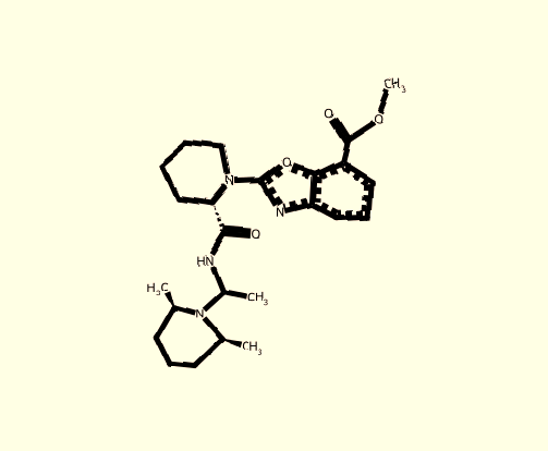 COC(=O)c1cccc2nc(N3CCCC[C@H]3C(=O)NC(C)N3[C@H](C)CCC[C@@H]3C)oc12